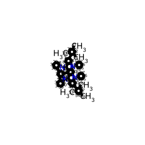 Cc1cc(C)c(-c2ccc3c(c2)N(c2ccccc2)c2cc4c5c6c2B3n2c3ccccc3c3cc7c8ccccc8n(c7c-6c32)B5c2ccc(-c3c(C)cc(C)cc3C)cc2N4c2ccccc2)c(C)c1